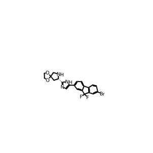 FC1(F)c2cc(Br)ccc2-c2ccc(-c3cnc([C@@H]4CC5(CN4)OCCO5)[nH]3)cc21